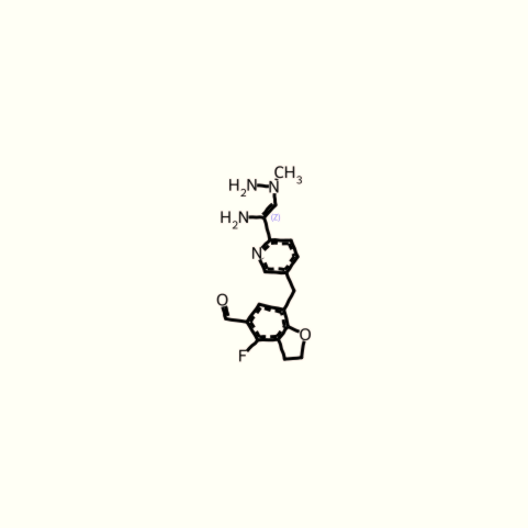 CN(N)/C=C(\N)c1ccc(Cc2cc(C=O)c(F)c3c2OCC3)cn1